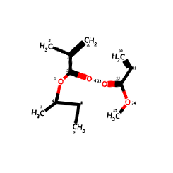 C=C(C)C(=O)OC(C)CC.C=CC(=O)OC